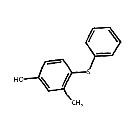 Cc1cc(O)ccc1Sc1ccccc1